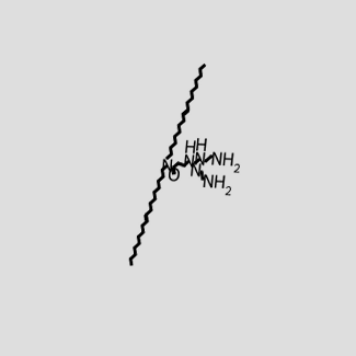 CCCCCCCCC=CCCCCCCCCN(CCCCCCCCC=CCCCCCCCC)C(=O)CCNC(=NCCN)NCCN